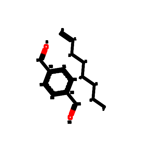 C=CCCCCCC.O=Cc1ccc(C=O)cc1